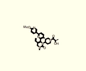 C=CC1=C(c2nc(-c3ccc(OC)nc3)ccc2C)N(C2CCN(C(=O)[C@@H](C)O)CC2)C(=O)N(C)C1